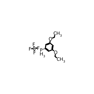 CCOc1cc([PH3+])cc(OCC)c1.F[B-](F)(F)F